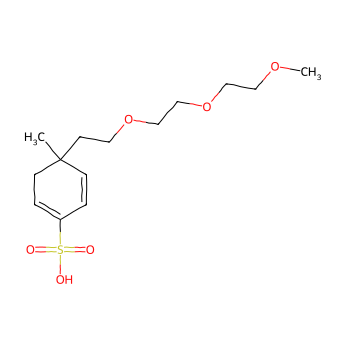 COCCOCCOCCC1(C)C=CC(S(=O)(=O)O)=CC1